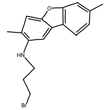 Cc1ccc2c(c1)oc1cc(C)c(NCCCBr)cc12